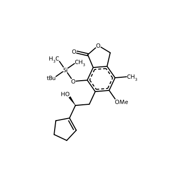 COc1c(C)c2c(c(O[Si](C)(C)C(C)(C)C)c1C[C@H](O)C1=CCCC1)C(=O)OC2